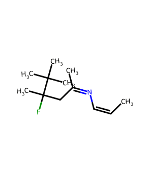 C/C=C\N=C(\C)CC(C)(F)C(C)(C)C